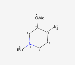 CCC1CCN(C(C)(C)C)CC1OC